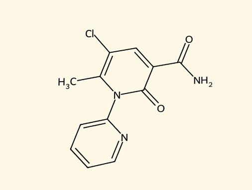 Cc1c(Cl)cc(C(N)=O)c(=O)n1-c1ccccn1